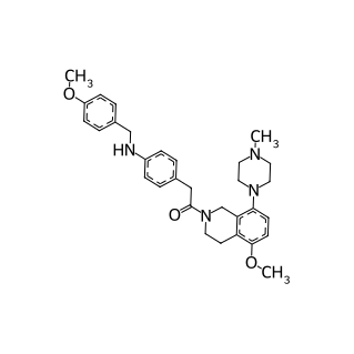 COc1ccc(CNc2ccc(CC(=O)N3CCc4c(OC)ccc(N5CCN(C)CC5)c4C3)cc2)cc1